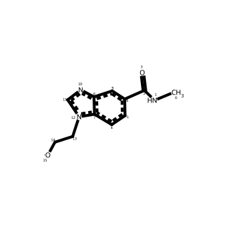 CNC(=O)c1ccc2c(c1)ncn2CC[O]